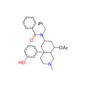 CC(=O)OC1CC(N(CC(C)C)C(=O)c2ccccc2)CC2(c3cccc(O)c3)CCN(C)CC12